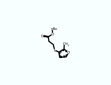 CCCCOC(=O)CCSc1ccoc1C